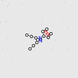 c1ccc(-c2ccc(-c3ccc4c(c3)c3cc(-c5ccc(-c6ccccc6)cc5)ccc3c3nc(-c5cc(-c6cccc7c6oc6ccccc67)cc(-c6cccc7c6oc6ccccc67)c5)cnc43)cc2)cc1